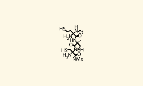 CCNC(N)(CCS)C(=O)N[C@@](C)(CS)C(=O)N[C@@](N)(CS)C(=O)NC